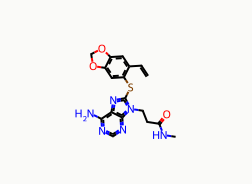 C=Cc1cc2c(cc1Sc1nc3c(N)ncnc3n1CCC(=O)NC)OCO2